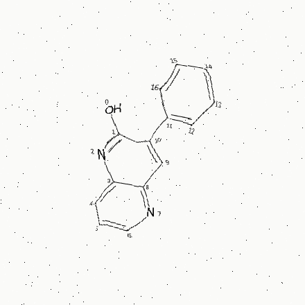 Oc1nc2cccnc2cc1-c1ccccc1